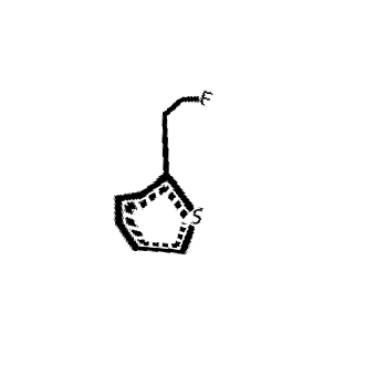 FCc1cccs1